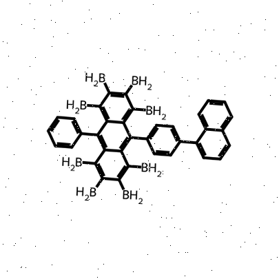 Bc1c(B)c(B)c2c(-c3ccc(-c4cccc5ccccc45)cc3)c3c(B)c(B)c(B)c(B)c3c(-c3ccccc3)c2c1B